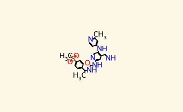 Cc1cc(Nc2cnc(NC(=O)NC(C)c3ccc(S(C)(=O)=O)cc3)cc2C=N)ccn1